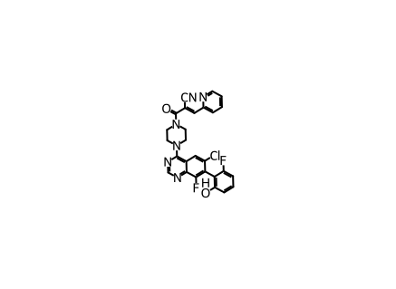 N#CC(=Cc1ccccn1)C(=O)N1CCN(c2ncnc3c(F)c(-c4c(O)cccc4F)c(Cl)cc23)CC1